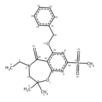 CCN1CC(C)(C)Oc2nc(S(C)(=O)=O)nc(OCc3ccccc3)c2C1=O